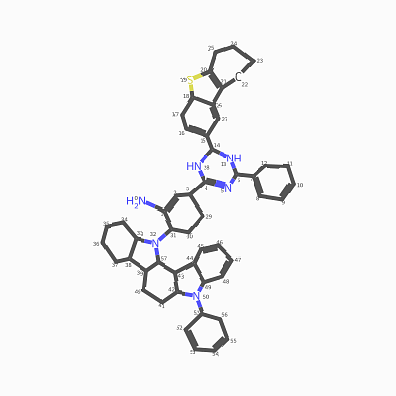 NC1=CC(C2=NC(C3=CC=CCC3)NC(C3=CCC4SC5=C(CCCC5)C4=C3)N2)CCC1N1C2CCCCC2C2CCC3C(C4C=CC=CC4N3C3C=CC=CC3)C21